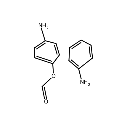 Nc1ccc(OC=O)cc1.Nc1ccccc1